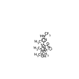 C=C(NCC(C)(C)O)c1nc(C(=O)N2CCC[C@@H]2CC)c(-c2cnc(NCC(F)(F)F)cc2C)s1